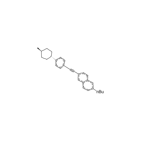 CCCCc1ccc2cc(C#Cc3ccc([C@H]4CC[C@H](C)CC4)cc3)ccc2c1